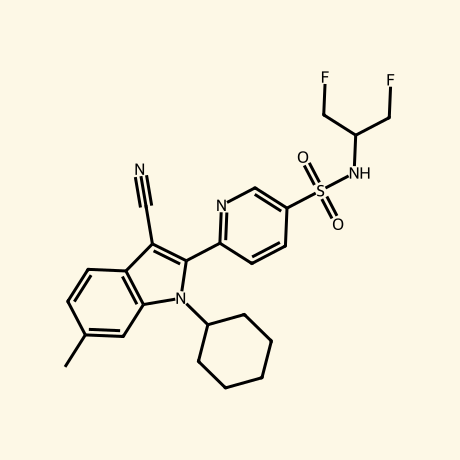 Cc1ccc2c(C#N)c(-c3ccc(S(=O)(=O)NC(CF)CF)cn3)n(C3CCCCC3)c2c1